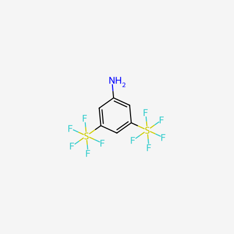 Nc1cc(S(F)(F)(F)(F)F)cc(S(F)(F)(F)(F)F)c1